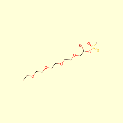 CCOCCOCCOCCOCC(Br)OS(C)(=O)=S